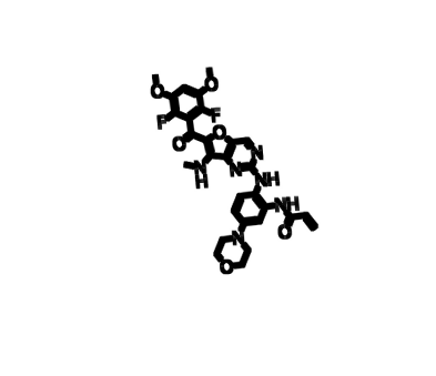 C=CC(=O)Nc1cc(N2CCOCC2)ccc1Nc1ncc2oc(C(=O)c3c(F)c(OC)cc(OC)c3F)c(NC)c2n1